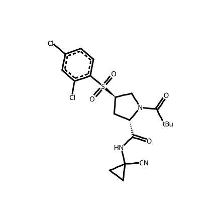 CC(C)(C)C(=O)N1C[C@H](S(=O)(=O)c2ccc(Cl)cc2Cl)C[C@H]1C(=O)NC1(C#N)CC1